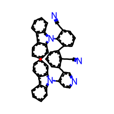 N#Cc1cccc(-c2cccc(-c3cnccc3-n3c4ccccc4c4ccccc43)c2C#N)c1-n1c2ccccc2c2ccccc21